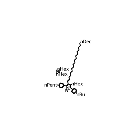 CCCCCCCCCCCCCCCCCCCCCCCCCCCC=CC1=C(c2ccc(CCCCC)cc2)[N+](=[N-])C(c2ccc(CCCC)cc2)=C1CCCCCC.CCCCC[CH2][Ni][CH2]CCCCC